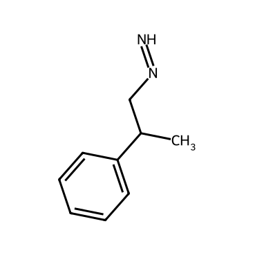 CC(CN=N)c1ccccc1